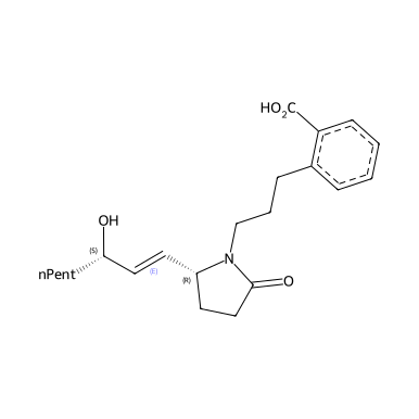 CCCCC[C@H](O)/C=C/[C@H]1CCC(=O)N1CCCc1ccccc1C(=O)O